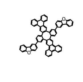 c1ccc2c(c1)oc1ccc(-c3ccc4c(c3)-c3cc5c6ccccc6c6ccccc6c5cc3-c3ccc(-c5ccc6oc7ccccc7c6c5)cc3-c3cc5c6ccccc6c6ccccc6c5cc3-4)cc12